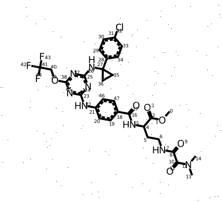 COC(=O)C(CCNC(=O)C(=O)N(C)C)NC(=O)c1ccc(Nc2nc(NC3(c4ccc(Cl)cc4)CC3)nc(OCC(F)(F)F)n2)cc1